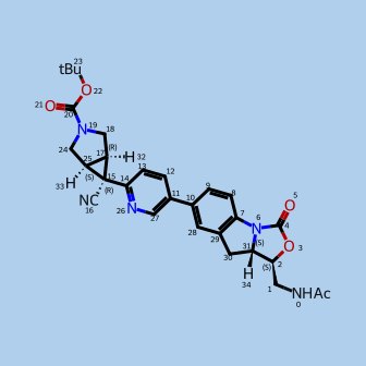 CC(=O)NC[C@@H]1OC(=O)N2c3ccc(-c4ccc([C@]5(C#N)[C@@H]6CN(C(=O)OC(C)(C)C)C[C@@H]65)nc4)cc3C[C@@H]12